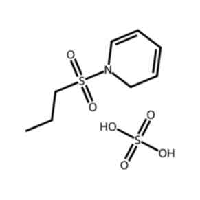 CCCS(=O)(=O)N1C=CC=CC1.O=S(=O)(O)O